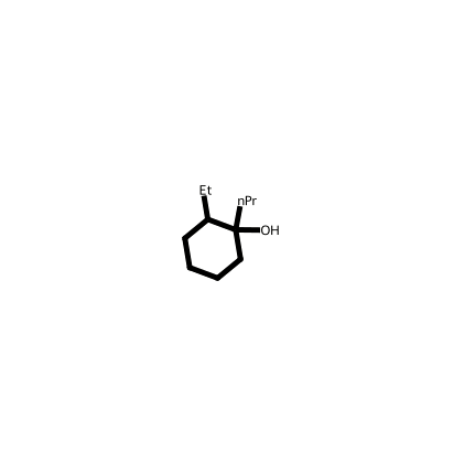 CCCC1(O)CCCCC1CC